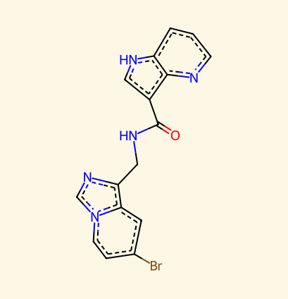 O=C(NCc1ncn2ccc(Br)cc12)c1c[nH]c2cccnc12